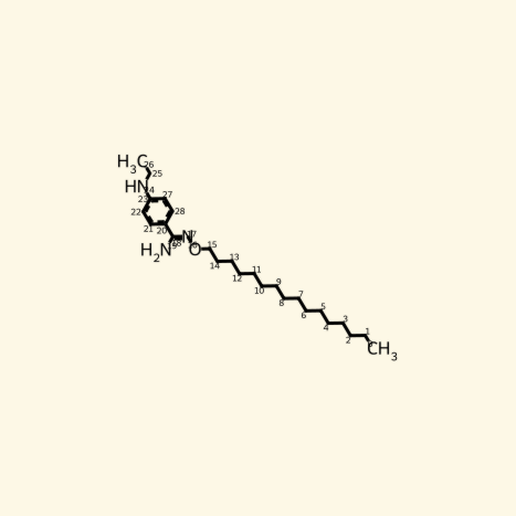 CCCCCCCCCCCCCCCCON=C(N)c1ccc(NCC)cc1